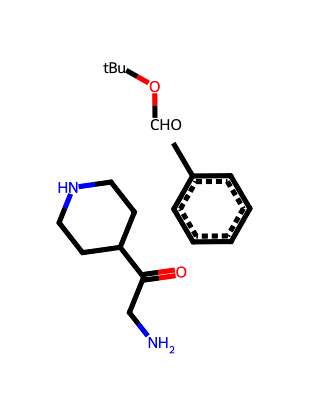 CC(C)(C)OC=O.Cc1ccccc1.NCC(=O)C1CCNCC1